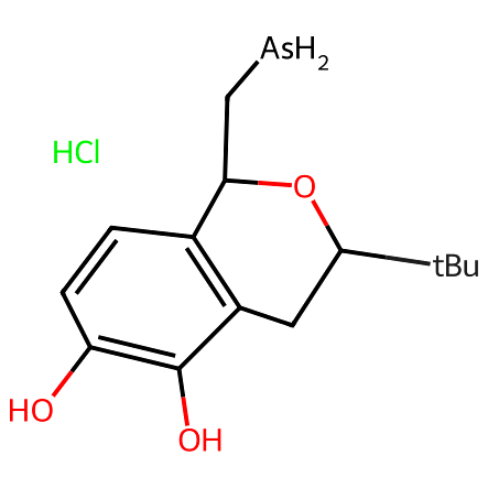 CC(C)(C)C1Cc2c(ccc(O)c2O)C(C[AsH2])O1.Cl